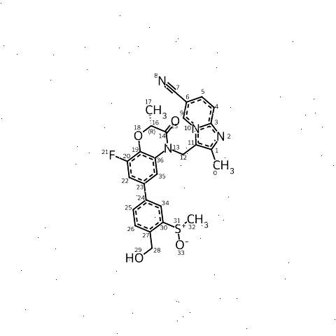 Cc1nc2ccc(C#N)cn2c1CN1C(=O)[C@@H](C)Oc2c(F)cc(-c3ccc(CO)c([S+](C)[O-])c3)cc21